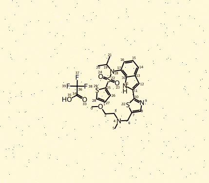 COCCN(C)Cc1cnc(-c2cc3cccc(N(C(C)C)S(=O)(=O)c4cccs4)c3[nH]2)s1.O=C(O)C(F)(F)F